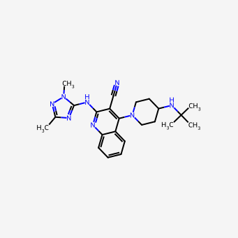 Cc1nc(Nc2nc3ccccc3c(N3CCC(NC(C)(C)C)CC3)c2C#N)n(C)n1